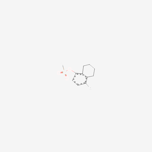 CC(=O)c1ccc(OS(=O)(=O)C(F)(F)F)c2c1CCCC2